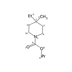 CCC1(C)CCN(C(=O)OC(C)C)CC1